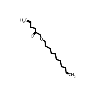 C=CCCCCCCCCCOCC(=O)CCC=C